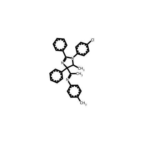 C/C(=N\c1ccc(C)cc1)C1(c2ccccc2)N=C(c2ccccc2)N(c2ccc(Cl)cc2)C1C